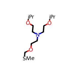 CSCOCCN(CCOC(C)C)CCOC(C)C